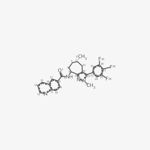 C[C@H]1CCC(NC(=O)c2ccc3ncccc3c2)c2nn(C)c(-c3cc(F)c(F)c(F)c3)c2C1